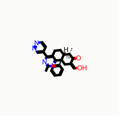 Cc1nc(-c2ccnnc2)c2c(n1)[C@@]1(c3ccccc3)CC(=CO)C(=O)[C@@H](C)[C@@H]1CC2